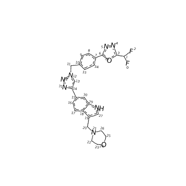 FC(F)c1nnc(-c2ccc(Cn3cc(-c4ccc5c(CN6CCOCC6)c[nH]c5c4)nn3)cc2)o1